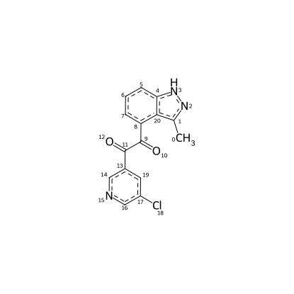 Cc1n[nH]c2cccc(C(=O)C(=O)c3cncc(Cl)c3)c12